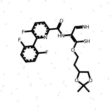 CC1(C)OCC(CCO/C(S)=C(/C=N)NC(=O)c2ccc(F)c(-c3c(F)cccc3F)n2)O1